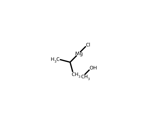 CO.C[CH](C)[Mg][Cl]